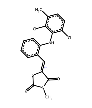 Cc1ccc(Cl)c(Nc2ccccc2/C=C2\SC(=S)N(C)C2=O)c1Cl